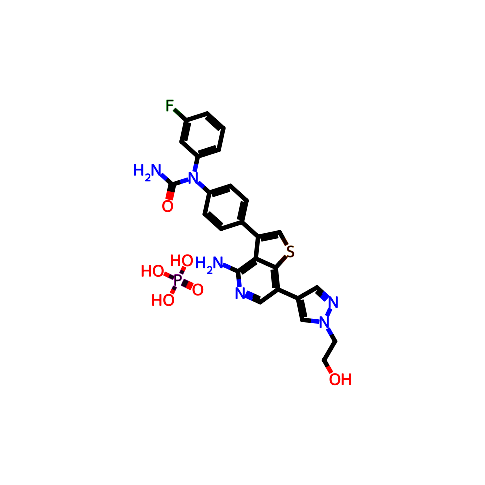 NC(=O)N(c1ccc(-c2csc3c(-c4cnn(CCO)c4)cnc(N)c23)cc1)c1cccc(F)c1.O=P(O)(O)O